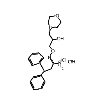 Cl.Cl.NC(CC(c1ccccc1)c1ccccc1)=NOCC(O)CN1CCOCC1